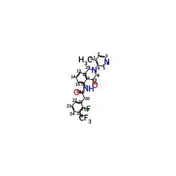 Cc1ccncc1N1CC(=O)c2c(cccc2NC(=O)Cc2cccc(C(F)(F)F)c2F)C1